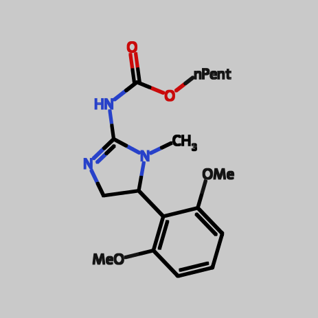 CCCCCOC(=O)NC1=NCC(c2c(OC)cccc2OC)N1C